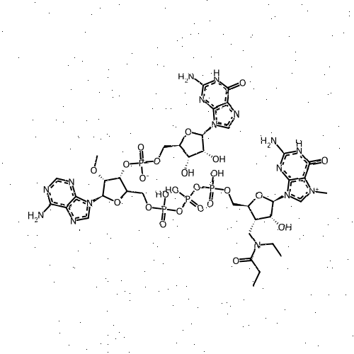 CCC(=O)N(CC)C[C@H]1[C@@H](O)[C@H](n2c[n+](C)c3c(=O)[nH]c(N)nc32)O[C@@H]1COP(=O)(O)OP(=O)(O)OP(=O)(O)OCC1O[C@@H](n2cnc3c(N)ncnc32)[C@H](OC)[C@@H]1OP(=O)([O-])OC[C@H]1O[C@@H](n2cnc3c(=O)[nH]c(N)nc32)[C@H](O)[C@@H]1O